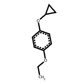 CCOc1ccc(OC2CC2)cc1